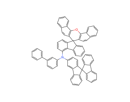 c1ccc(-c2cccc(N(c3ccc4c(c3)-c3ccccc3C43c4ccccc4-c4ccccc43)c3cccc4c3-c3ccccc3C43c4ccc5ccccc5c4Oc4c3ccc3ccccc43)c2)cc1